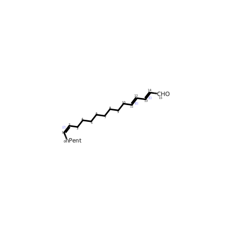 CCCCC/C=C\CCCCCCCC/C=C/C=C/C=O